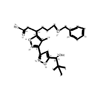 CC(C)(C)[C@H](O)c1cc(-c2noc(C(CCCOCc3ccccc3)CC(=O)O)c2I)no1